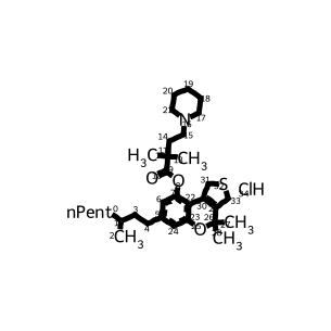 CCCCCC(C)CCc1cc(OC(=O)C(C)(C)CCN2CCCCC2)c2c(c1)OC(C)(C)C1=C2CSC1.Cl